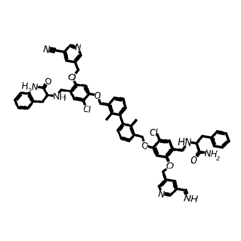 Cc1c(COc2cc(OCc3cncc(C#N)c3)c(CNC(Cc3ccccc3)C(N)=O)cc2Cl)cccc1-c1cccc(COc2cc(OCc3cncc(C=N)c3)c(CNC(Cc3ccccc3)C(N)=O)cc2Cl)c1C